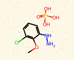 COc1c(Cl)cccc1NN.O=P(O)(O)O